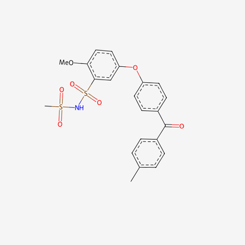 COc1ccc(Oc2ccc(C(=O)c3ccc(C)cc3)cc2)cc1S(=O)(=O)NS(C)(=O)=O